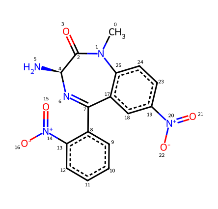 CN1C(=O)[C@H](N)N=C(c2ccccc2[N+](=O)[O-])c2cc([N+](=O)[O-])ccc21